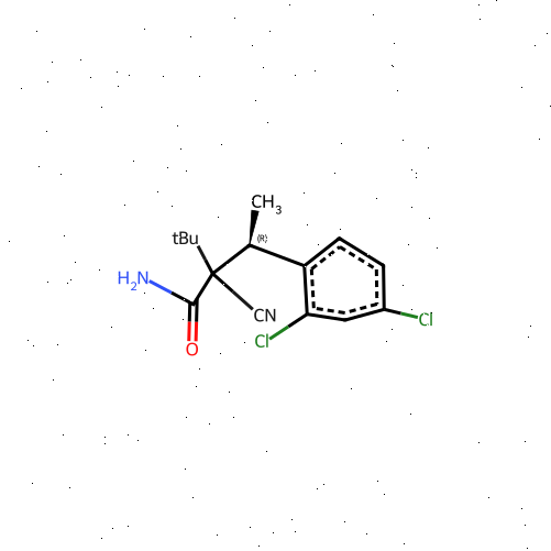 C[C@@H](c1ccc(Cl)cc1Cl)C(C#N)(C(N)=O)C(C)(C)C